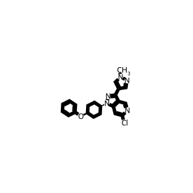 Cn1cc(-c2nn([C@H]3CC[C@H](Oc4ccccc4)CC3)c3cc(Cl)ncc23)cn1